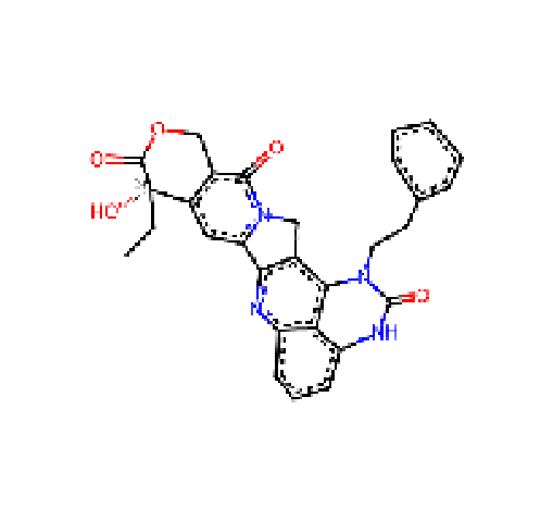 CC[C@@]1(O)C(=O)OCc2c1cc1n(c2=O)Cc2c-1nc1cccc3c1c2N(CCc1ccccc1)C(=O)N3